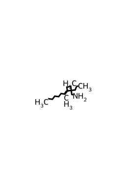 CCCCCC/C(C)=C1\CCC1(CN)CC(C)C